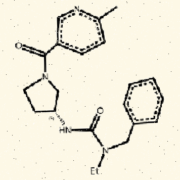 CCN(Cc1ccccc1)C(=O)N[C@@H]1CCN(C(=O)c2ccc(C)nc2)C1